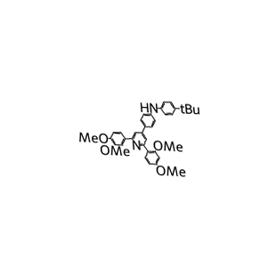 COc1ccc(-c2cc(-c3ccc(Nc4ccc(C(C)(C)C)cc4)cc3)cc(-c3ccc(OC)cc3OC)n2)c(OC)c1